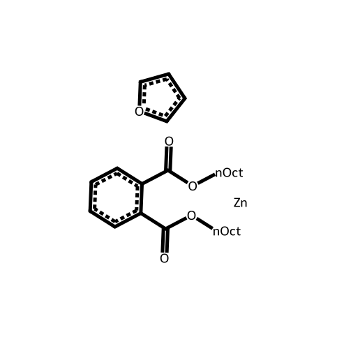 CCCCCCCCOC(=O)c1ccccc1C(=O)OCCCCCCCC.[Zn].c1ccoc1